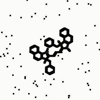 CN1/C(=C/C=C/C2=[N+](C)c3c(ccc4ccccc34)C2(C)Cc2ccccc2)C(C)(Cc2ccccc2)c2c1ccc1ccccc21